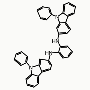 c1ccc(-n2c3ccccc3c3ccc(Nc4ccccc4Nc4ccc5c6ccccc6n(-c6ccccc6)c5c4)cc32)cc1